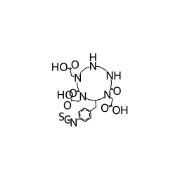 O=C(O)CN1CCNCCNCC(=O)N(CC(=O)O)CC(Cc2ccc(N=C=S)cc2)CN(CC(=O)O)C(=O)C1